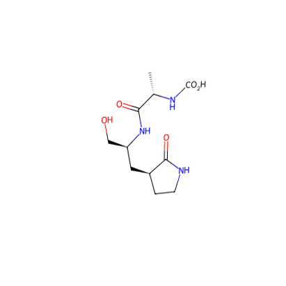 C[C@H](NC(=O)O)C(=O)N[C@H](CO)C[C@@H]1CCNC1=O